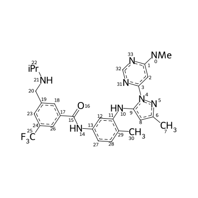 CNc1cc(-n2nc(C)cc2Nc2cc(NC(=O)c3cc(CNC(C)C)cc(C(F)(F)F)c3)ccc2C)ncn1